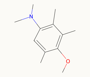 COc1c(C)cc(N(C)C)c(C)c1C